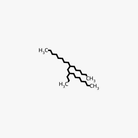 CCCCCCCCC(CCCCCC)CC(CCC)CCCCCCC